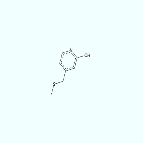 CSCc1ccnc(O)c1